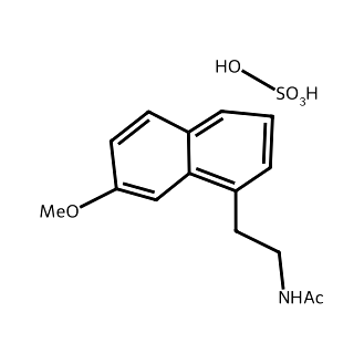 COc1ccc2cccc(CCNC(C)=O)c2c1.O=S(=O)(O)O